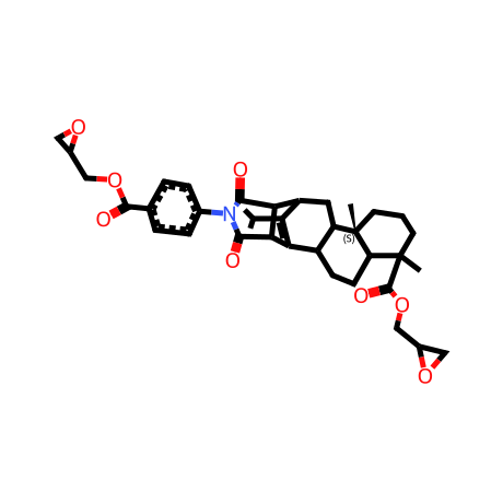 CC(C)C1=C2C3CCC4C(C)(C(=O)OCC5CO5)CCC[C@@]4(C)C3CC1C1C(=O)N(c3ccc(C(=O)OCC4CO4)cc3)C(=O)C21